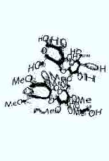 COC[C@@H]1O[C@H](O[C@@H]2[C@@H](OC)[C@H](OC)[C@@H](OC)O[C@H]2COC)[C@@H](OC)[C@H](OC)[C@H]1OC.OCCO.OC[C@@H]1O[C@H](O[C@@H]2[C@@H](O)[C@H](O)[C@@H](O)O[C@H]2CO)[C@@H](O)[C@H](O)[C@H]1O